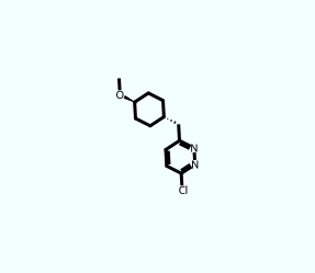 CO[C@H]1CC[C@H](Cc2ccc(Cl)nn2)CC1